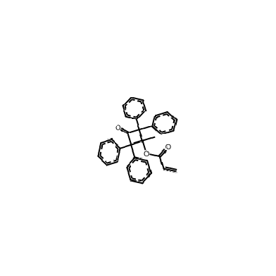 C=CC(=O)OC1(C)C(c2ccccc2)(c2ccccc2)C(=O)C1(c1ccccc1)c1ccccc1